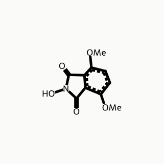 COc1ccc(OC)c2c1C(=O)N(O)C2=O